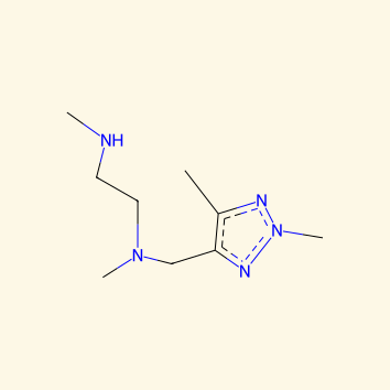 CNCCN(C)Cc1nn(C)nc1C